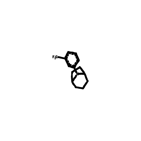 FC(F)(F)c1[c]ccc(N2C3CCCC2CC3)c1